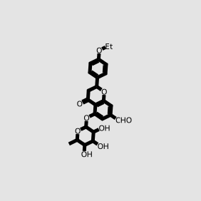 CCOc1ccc(C2CC(=O)c3c(cc(C=O)cc3OC3OC(C)C(O)C(O)C3O)O2)cc1